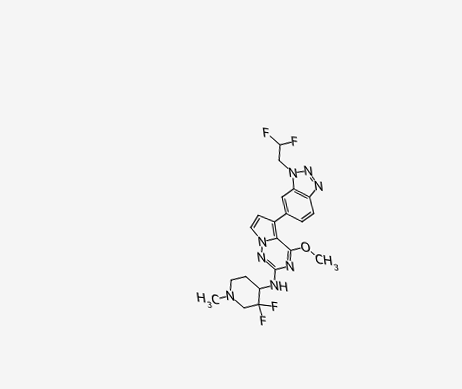 COc1nc(NC2CCN(C)CC2(F)F)nn2ccc(-c3ccc4nnn(CC(F)F)c4c3)c12